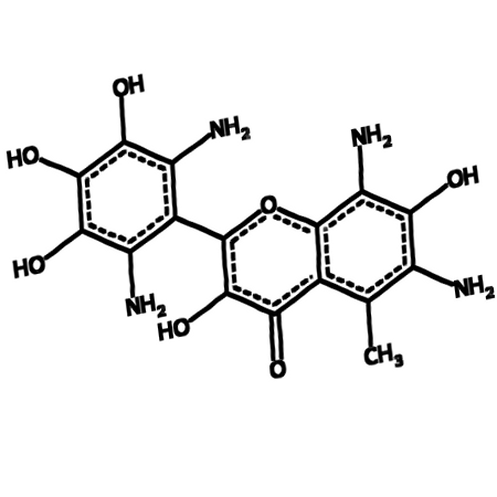 Cc1c(N)c(O)c(N)c2oc(-c3c(N)c(O)c(O)c(O)c3N)c(O)c(=O)c12